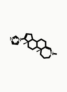 CN1C=C2CCC3C(CC[C@]4(C)C(n5ccnc5)=CCC34)[C@@]2(C)CCC1